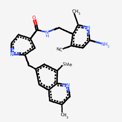 CSc1cc(Cc2cc(C(=O)NCc3c(C#N)cc(N)nc3C)ccn2)cc2cc(C)cnc12